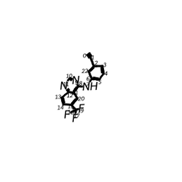 C#Cc1cccc(Nc2ncnc3ccc(C(F)(F)F)cc23)c1